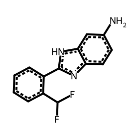 Nc1ccc2nc(-c3ccccc3C(F)F)[nH]c2c1